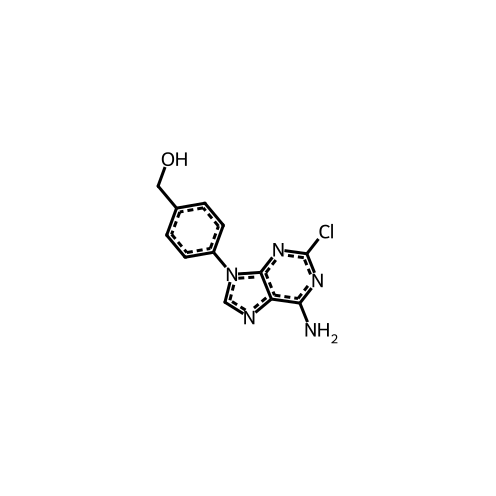 Nc1nc(Cl)nc2c1ncn2-c1ccc(CO)cc1